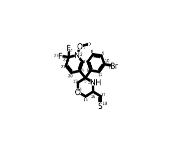 CON1C=C(C2(c3cccc(Br)c3)COCC(C=S)N2)C=CC1(F)F